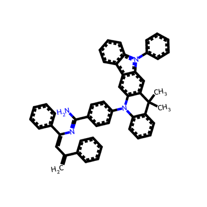 C=C(/C=C(\N=C(/N)c1ccc(N2c3ccccc3C(C)(C)c3cc4c(cc32)c2ccccc2n4-c2ccccc2)cc1)c1ccccc1)c1ccccc1